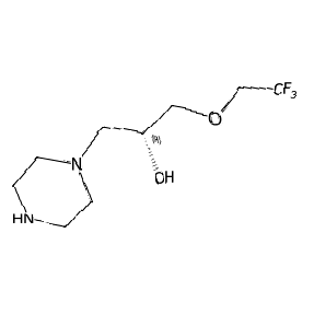 O[C@@H](COCC(F)(F)F)CN1CCNCC1